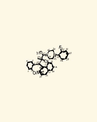 COc1ccccc1[C@H](c1cccc2ccccc12)C(C)(C#N)C(O)N1CCN(c2ccccc2F)CC1